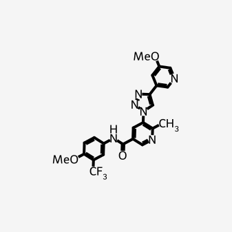 COc1cncc(-c2cn(-c3cc(C(=O)Nc4ccc(OC)c(C(F)(F)F)c4)cnc3C)nn2)c1